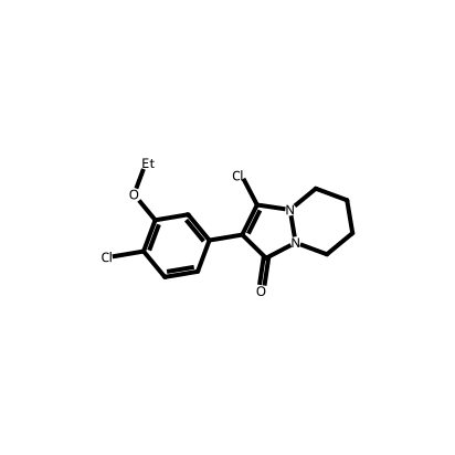 CCOc1cc(-c2c(Cl)n3n(c2=O)CCCC3)ccc1Cl